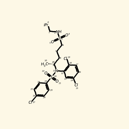 CC(C)CNS(=O)(=O)CCC[C@@H](C)N(c1cc(Cl)ccc1Cl)S(=O)(=O)c1ccc(Cl)cc1